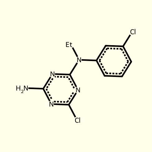 CCN(c1cccc(Cl)c1)c1nc(N)nc(Cl)n1